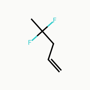 C=CCC(C)(F)F